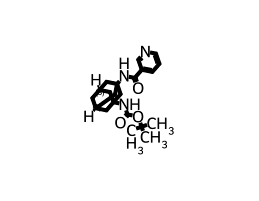 CC(C)(C)OC(=O)NC12C[C@H]3C[C@@H](C1)CC(NC(=O)c1cccnc1)(C3)C2